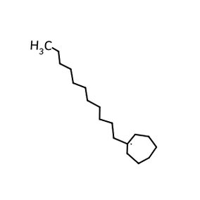 CCCCCCCCCCC[C]1CCCCCC1